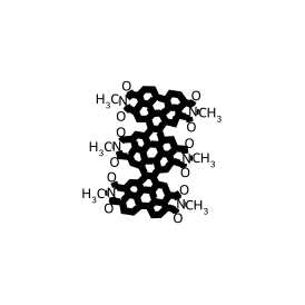 Cn1c(=O)c2ccc3c4ccc5c(=O)n(C)c(=O)c6cc7c8c9cc%10c(=O)n(C)c(=O)c%11cc%12c%13c%14cc%15c(=O)n(C)c(=O)c%16ccc%17c%18ccc%19c(=O)n(C)c(=O)c%20cc(c%13c%13cc%21c(=O)n(C)c(=O)c%22cc(c8c8cc(c1=O)c2c3c8c7c4c56)c1c9c(c%10%11)c%12c%13c1c%22%21)c(c%18c%19%20)c%14c%17c%16%15